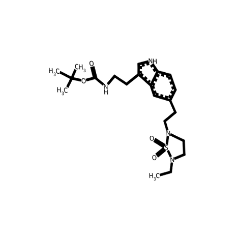 CCN1CCN(CCc2ccc3[nH]cc(CCNC(=O)OC(C)(C)C)c3c2)S1(=O)=O